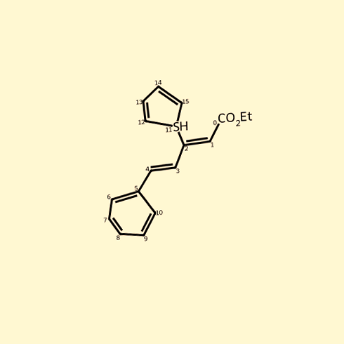 CCOC(=O)C=C(C=Cc1ccccc1)[SH]1C=CC=C1